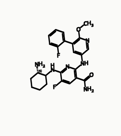 COc1ncc(Nc2nc(NC3CCCC[C@@H]3N)c(F)cc2C(N)=O)cc1-c1ccccc1F